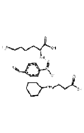 CCCC(=O)O.NC1CCCCC1.NCCCC[C@H](N)C(=O)O.O=Cc1ccc([N+](=O)[O-])cc1